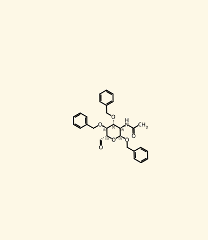 CC(=O)N[C@H]1[C@@H](OCc2ccccc2)O[C@H](C=O)[C@@H](OCc2ccccc2)[C@@H]1OCc1ccccc1